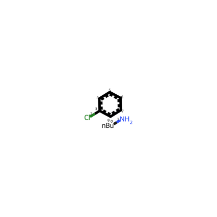 CCCCN.Clc1ccccc1